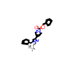 CCn1nc(C2C3CN(C(=O)OCc4ccccc4)CC32)cc1Cc1ccccc1